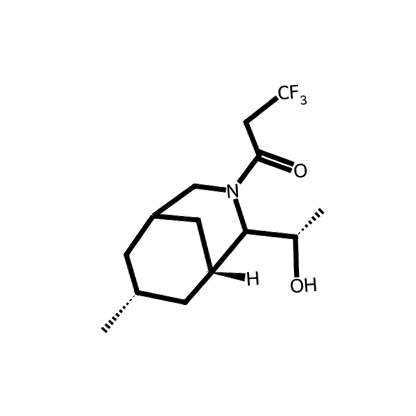 C[C@@H]1CC2C[C@@H](C1)C([C@H](C)O)N(C(=O)CC(F)(F)F)C2